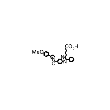 COc1ccc(C2CCN(C(=O)c3ccc4nc(-c5ccccc5)c(CCCCC(=O)O)nc4c3)C2)cc1